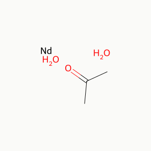 CC(C)=O.O.O.[Nd]